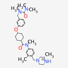 Cc1cc(N(C)C(=O)C2CCC(Oc3cccc(CN(C)C(=O)N(C)C)c3)CC2)ccc1CN1CCN[C@@H](C)C1